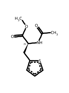 COC(=O)[C@H](Cc1cccs1)NC(C)=O